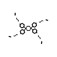 C=COCCOc1ccc(C2(c3ccc(OCCOC=C)cc3)CCC(c3ccc(OCCOC=C)cc3)(c3ccc(OCCOC=C)cc3)CC2)cc1